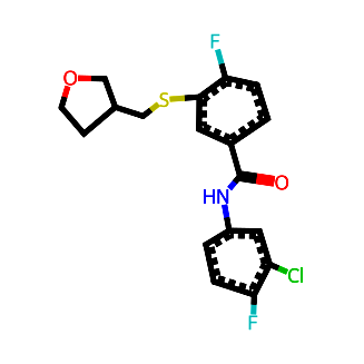 O=C(Nc1ccc(F)c(Cl)c1)c1ccc(F)c(SCC2CCOC2)c1